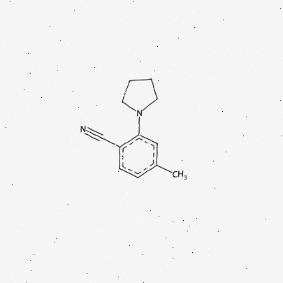 Cc1ccc(C#N)c(N2CCCC2)c1